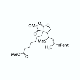 CCCCC/C(C)=C/C(SC)C1COC(=O)C1(CCCCCCC(=O)OC)C(=O)OC